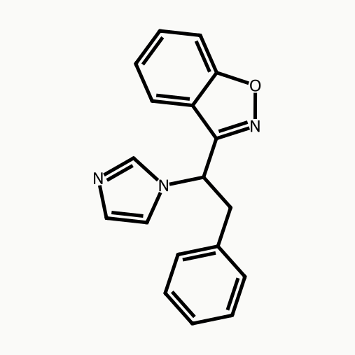 c1ccc(CC(c2noc3ccccc23)n2ccnc2)cc1